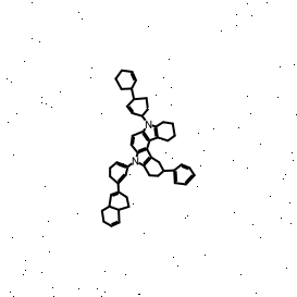 C1=CC(C2C=CC(n3c4c(c5c6c7c(n(C8=CCCC(C9=CC%10CCC=CC%10CC9)=C8)c6ccc53)CCC(c3ccccc3)C7)CCCC4)CC2)CCC1